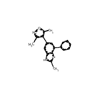 Cc1nc2c(-c3ccccc3)cc(-c3c(C)noc3C)cc2[nH]1